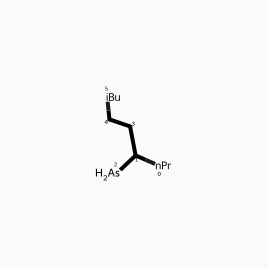 CCCC([AsH2])CCC(C)CC